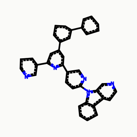 c1ccc(-c2cccc(-c3cc(-c4cccnc4)nc(-c4ccc(-n5c6ccccc6c6ccncc65)nc4)c3)c2)cc1